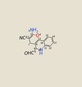 N#CC1=C(N)OC2=C(C1)C(C=O)Nc1ccccc12